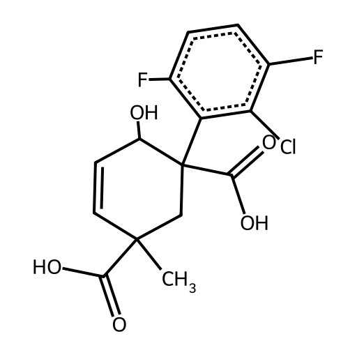 CC1(C(=O)O)C=CC(O)C(C(=O)O)(c2c(F)ccc(F)c2Cl)C1